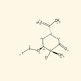 C=C(C)[C@@H]1CC(=O)[C@](C)(Cl)[C@@H](OSI)C1